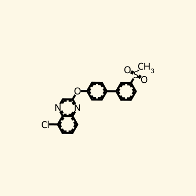 CS(=O)(=O)c1cccc(-c2ccc(Oc3cnc4c(Cl)cccc4n3)cc2)c1